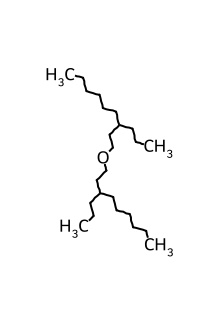 CCCCCCC(CCC)CCOCCC(CCC)CCCCCC